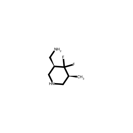 C[C@H]1CNC[C@@H](CN)C1(F)F